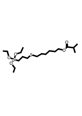 CCO[Si](CCCSCCCCCCOC(=O)C(C)C)(OCC)OCC